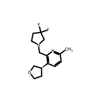 Cc1ccc([C@H]2CCOC2)c(CN2CCC(F)(F)C2)n1